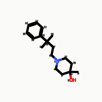 CC1(O)CCN(CCC(C)(C)c2ccccc2)CC1